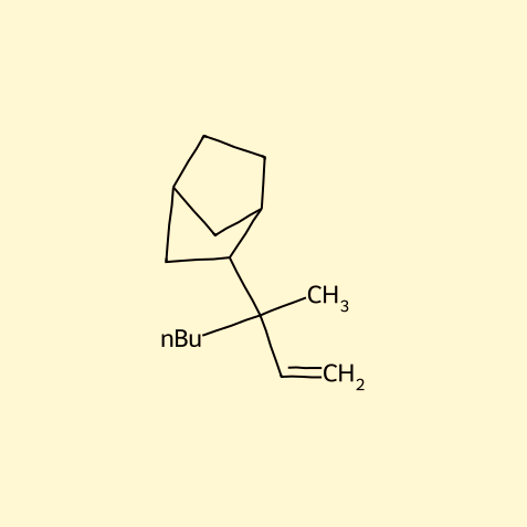 C=CC(C)(CCCC)C1CC2CCC1C2